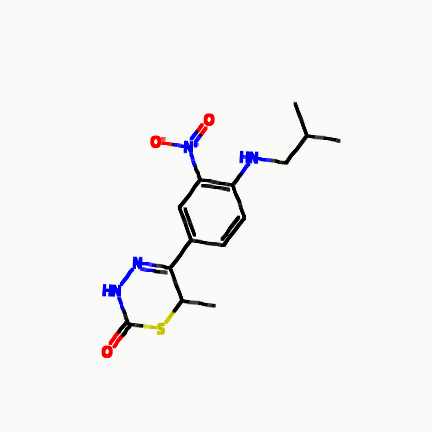 CC(C)CNc1ccc(C2=NNC(=O)SC2C)cc1[N+](=O)[O-]